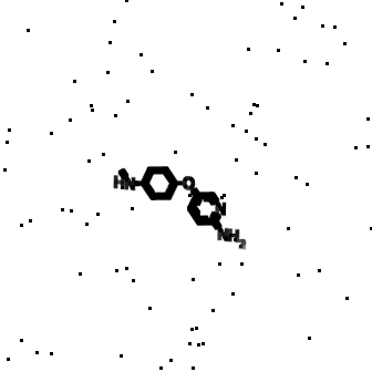 CN[C@H]1CC[C@H](Oc2ccc(N)nc2)CC1